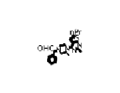 CCCc1cc2c(N3CCN(C(C=O)c4ccccc4)C[C@@H]3C)nc(C)nc2s1